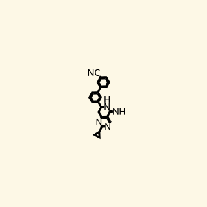 N#Cc1cccc(-c2cccc(C3Cc4nc(C5CC5)ncc4C(=N)N3)c2)c1